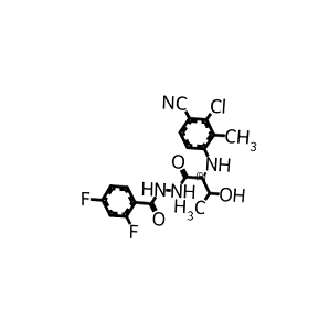 Cc1c(N[C@@H](C(=O)NNC(=O)c2ccc(F)cc2F)C(C)O)ccc(C#N)c1Cl